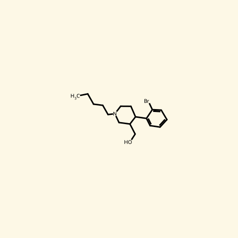 CCCCCN1CCC(c2ccccc2Br)C(CO)C1